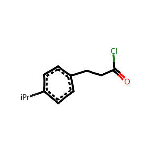 CC(C)c1ccc(CCC(=O)Cl)cc1